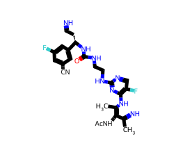 CC(=N)/C(NC(C)=O)=C(/C)Nc1nc(NCCNC(=O)N[C@@H](CC=N)c2cc(F)cc(C#N)c2)ncc1F